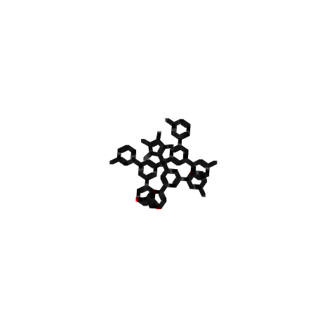 CC1=C(C)C(C)C([Si](c2cc(-c3cccc(C)c3)cc(-c3cccc(C)c3)c2)(c2cc(-c3cccc(C)c3)cc(-c3cccc(C)c3)c2)c2cc(-c3cccc(C)c3)cc(-c3cccc(C)c3)c2)=C1C